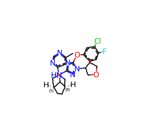 Cc1cc(N2C[C@H]3CC[C@@H](C2)C3Nc2nc(Oc3ccc(F)c(Cl)c3)n(C3CCOC3)n2)ncn1